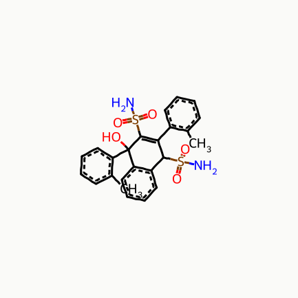 Cc1ccccc1C1=C(S(N)(=O)=O)C(O)(c2ccccc2C)c2ccccc2C1S(N)(=O)=O